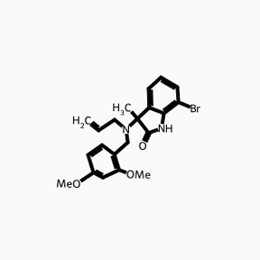 C=CCN(Cc1ccc(OC)cc1OC)C1(C)C(=O)Nc2c(Br)cccc21